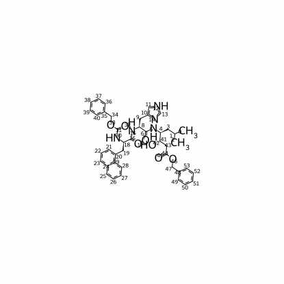 CC(C)C[C@H](NC(=O)[C@H](Cc1c[nH]cn1)NC(=O)[C@@H](Cc1cccc2ccccc12)NC(=O)OCc1ccccc1)[C@@H](O)CC(=O)OCc1ccccc1